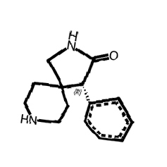 O=C1NCC2(CCNCC2)[C@H]1c1ccccc1